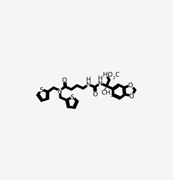 C[C@@](CC(=O)O)(NC(=O)NCCCC(=O)N(Cc1cccs1)Cc1cccs1)c1ccc2c(c1)OCO2